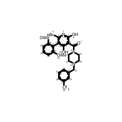 CCCCc1nc(O)c(C(=O)N2CCN(Cc3cccc(C(F)(F)F)c3)CC2)c(O)c1-c1c(OC)cccc1OC